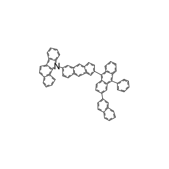 c1ccc(-c2c3ccccc3c(-c3ccc4cc5cc(-n6c7ccccc7c7ccc8ccccc8c76)ccc5cc4c3)c3ccc(-c4ccc5ccccc5c4)cc23)cc1